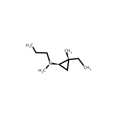 CCCN(C)[C@@H]1C[C@@]1(C)CC